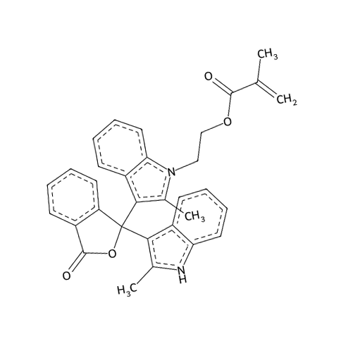 C=C(C)C(=O)OCCn1c(C)c(C2(c3c(C)[nH]c4ccccc34)OC(=O)c3ccccc32)c2ccccc21